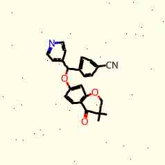 CC1(C)COc2cc(OC(c3ccncc3)c3ccc(C#N)cc3)ccc2C1=O